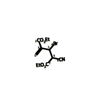 C=C(C(=O)OCC)C(Br)C(C#N)C(=O)OCC